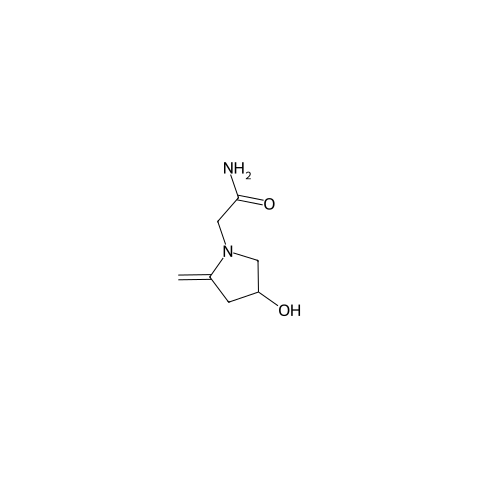 C=C1CC(O)CN1CC(N)=O